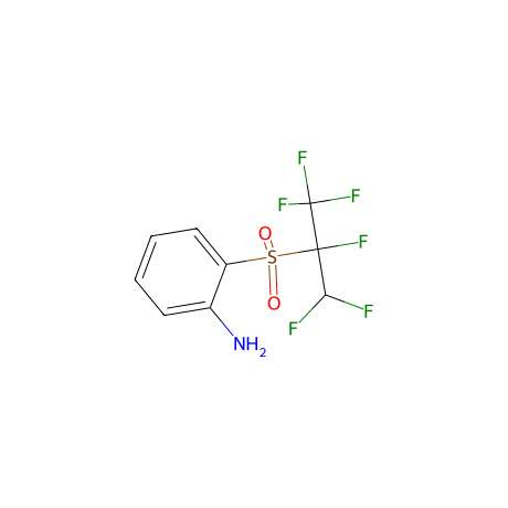 Nc1ccccc1S(=O)(=O)C(F)(C(F)F)C(F)(F)F